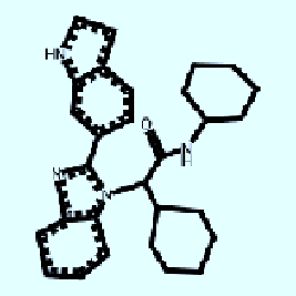 O=C(NC1CCCCC1)C(C1CCCCC1)n1c(-c2ccc3cc[nH]c3c2)nc2ccccc21